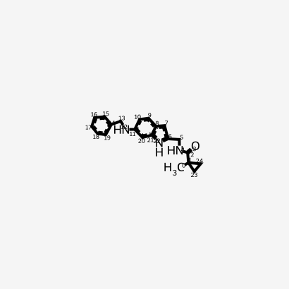 CC1(C(=O)NCc2cc3ccc(NCc4ccccc4)cc3[nH]2)CC1